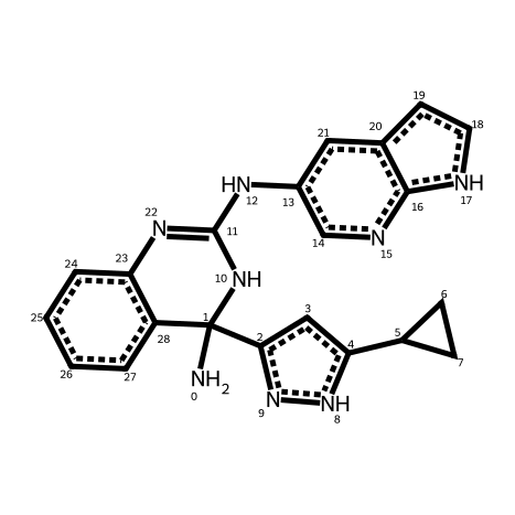 NC1(c2cc(C3CC3)[nH]n2)NC(Nc2cnc3[nH]ccc3c2)=Nc2ccccc21